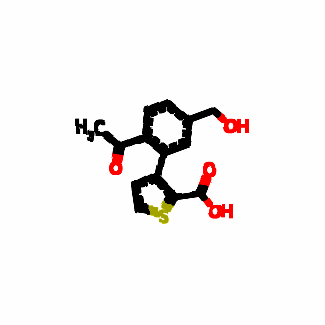 CC(=O)c1ccc(CO)cc1-c1ccsc1C(=O)O